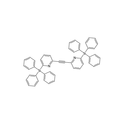 C(#Cc1cccc([Si](c2ccccc2)(c2ccccc2)c2ccccc2)n1)c1cccc([Si](c2ccccc2)(c2ccccc2)c2ccccc2)n1